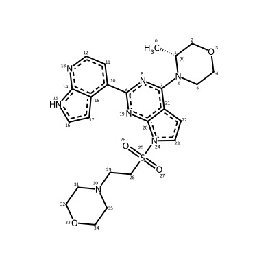 C[C@@H]1COCCN1c1nc(-c2ccnc3[nH]ccc23)nc2c1ccn2S(=O)(=O)CCN1CCOCC1